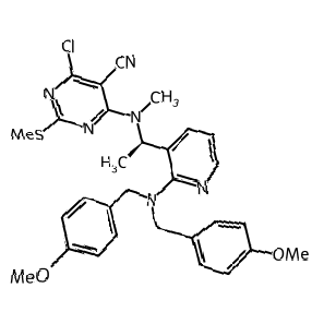 COc1ccc(CN(Cc2ccc(OC)cc2)c2ncccc2[C@@H](C)N(C)c2nc(SC)nc(Cl)c2C#N)cc1